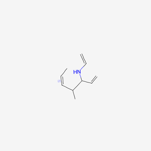 C=CNC(C=C)C(C)/C=C\C